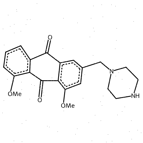 COc1cccc2c1C(=O)c1c(OC)cc(CN3CCNCC3)cc1C2=O